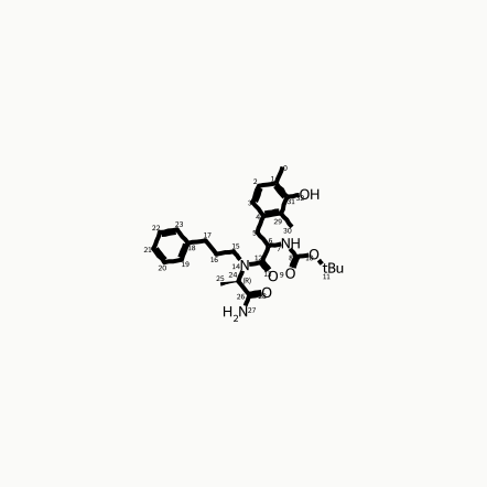 Cc1ccc(CC(NC(=O)OC(C)(C)C)C(=O)N(CCCc2ccccc2)[C@H](C)C(N)=O)c(C)c1O